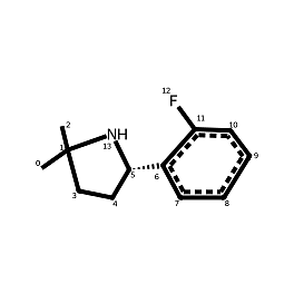 CC1(C)CC[C@@H](c2cc[c]cc2F)N1